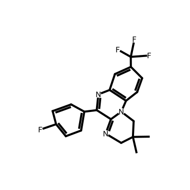 CC1(C)CN=C2C(c3ccc(F)cc3)=Nc3cc(C(F)(F)F)ccc3N2C1